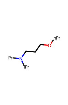 CCCOCCCN(C(C)C)C(C)C